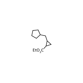 CCOC(=O)C1CC1CC1CCCC1